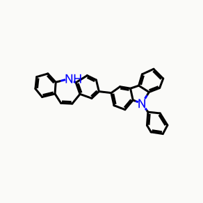 C1=Cc2cc(-c3ccc4c(c3)c3ccccc3n4-c3ccccc3)ccc2Nc2ccccc21